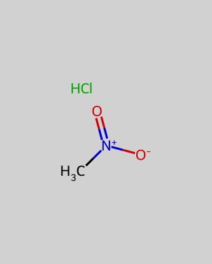 C[N+](=O)[O-].Cl